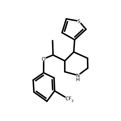 CC(Oc1cccc(C(F)(F)F)c1)C1CNCCC1c1ccsc1